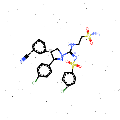 N#Cc1cccc([C@@H]2CN(/C(=N\S(=O)(=O)c3ccc(Cl)cc3)NCCS(N)(=O)=O)N=C2c2ccc(Cl)cc2)c1